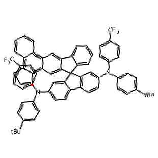 CC(C)(C)c1ccc(N(c2ccc(C(F)(F)F)cc2)c2ccc3c(c2)C2(c4ccccc4-c4cc5c6ccccc6c6ccccc6c5cc42)c2cc(N(c4ccc(C(C)(C)C)cc4)c4ccc(C(F)(F)F)cc4)ccc2-3)cc1